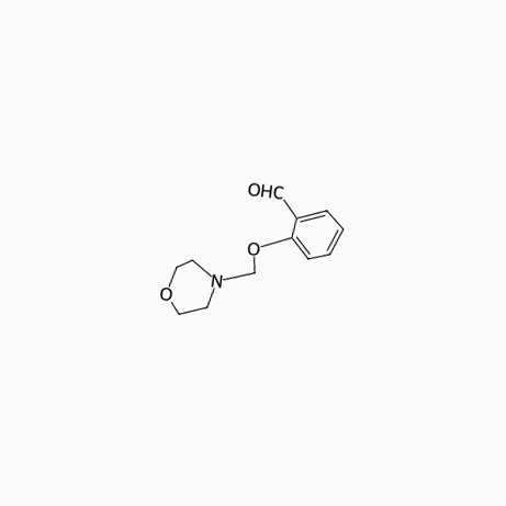 O=Cc1ccccc1OCN1CCOCC1